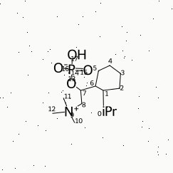 CC(C)C1CCCCC1C(C[N+](C)(C)C)OP(=O)([O-])O